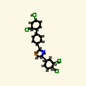 Clc1ccc(-c2ccc(-c3nc(-c4ccc(Cl)c(Cl)c4)cs3)cc2)c(Cl)c1